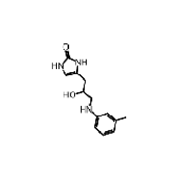 Cc1cccc(NCC(O)Cc2c[nH]c(=O)[nH]2)c1